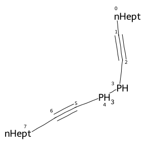 CCCCCCCC#CP[PH3]C#CCCCCCCC